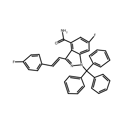 NC(=O)c1[c]c(F)cc2c1c(/C=C/c1ccc(F)cc1)nn2C(c1ccccc1)(c1ccccc1)c1ccccc1